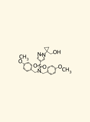 COc1ccc(CN(Cc2ccc(OC)cc2)S(=O)(=O)c2cnn(C3(CO)CC3)c2)cc1